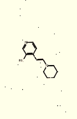 N#Cc1cnccc1C=CN1CCCCC1